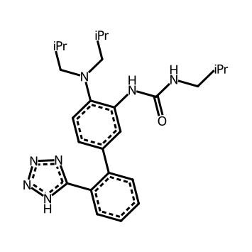 CC(C)CNC(=O)Nc1cc(-c2ccccc2-c2nnn[nH]2)ccc1N(CC(C)C)CC(C)C